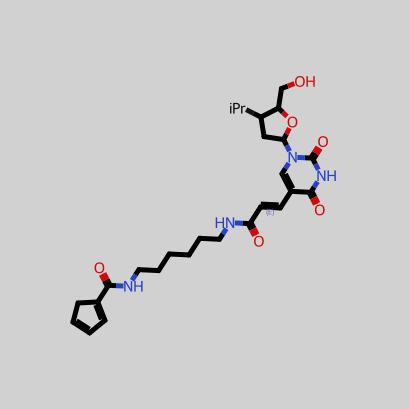 CC(C)C1CC(n2cc(/C=C/C(=O)NCCCCCCNC(=O)C3=CC=CC3)c(=O)[nH]c2=O)OC1CO